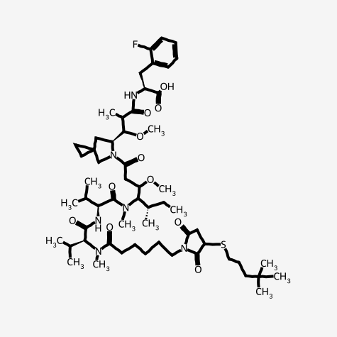 CC[C@H](C)C(C(CC(=O)N1CC2(CC2)C[C@H]1C(OC)C(C)C(=O)N[C@@H](Cc1ccccc1F)C(=O)O)OC)N(C)C(=O)[C@@H](NC(=O)[C@H](C(C)C)N(C)C(=O)CCCCCN1C(=O)CC(SCCCC(C)(C)C)C1=O)C(C)C